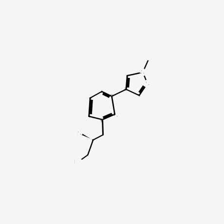 Cn1cc(-c2c[c]cc(C[C@H](N)CO)c2)cn1